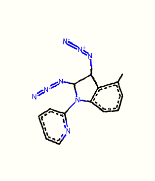 Cc1cccc2c1C(N=[N+]=[N-])C(N=[N+]=[N-])N2c1ccccn1